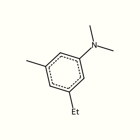 CCc1cc(C)cc(N(C)C)c1